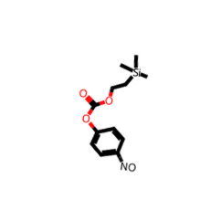 C[Si](C)(C)CCOC(=O)Oc1ccc(N=O)cc1